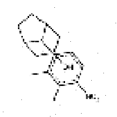 Cc1c(N2C3CCC2CC(O)C3)ccc([N+](=O)[O-])c1C